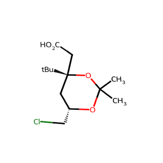 CC1(C)O[C@H](CCl)C[C@@](CC(=O)O)(C(C)(C)C)O1